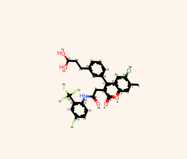 Cc1cc2oc(=O)c(CC(=O)Nc3ccc(F)cc3C(F)(F)F)c(-c3cccc(CCC(O)O)c3)c2cc1Cl